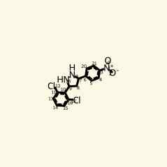 O=[N+]([O-])c1ccc(C2CC(c3c(Cl)cccc3Cl)NN2)cc1